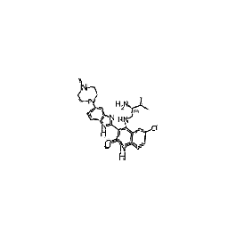 CC(C)[C@H](N)CNc1c(-c2nc3cc(N4CCN(C)CC4)ccc3[nH]2)c(=O)[nH]c2ccc(Cl)cc12